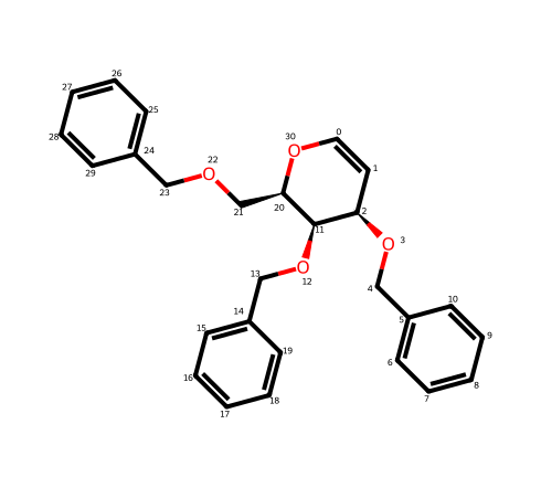 C1=C[C@@H](OCc2ccccc2)[C@@H](OCc2ccccc2)[C@@H](COCc2ccccc2)O1